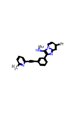 Cc1cccc(C#Cc2cccc(-c3nc4cc(C(C)C)ccn4c3NC(C)(C)C)c2)n1